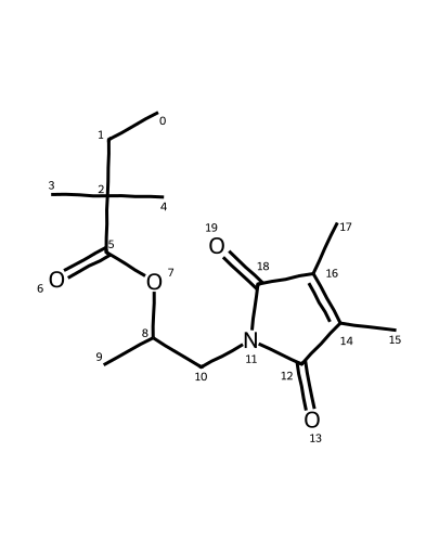 CCC(C)(C)C(=O)OC(C)CN1C(=O)C(C)=C(C)C1=O